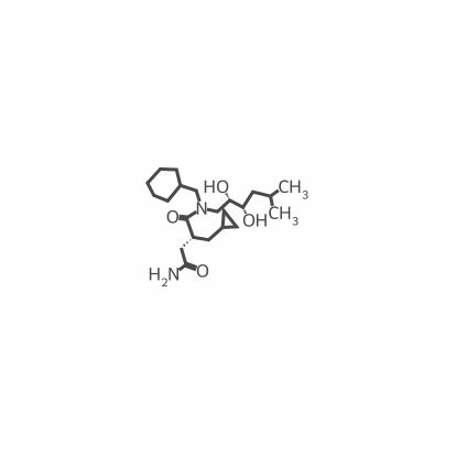 CC(C)C[C@H](O)[C@@H](O)CN(CC1CCCCC1)C(=O)[C@@H](CC(N)=O)CC1CC1